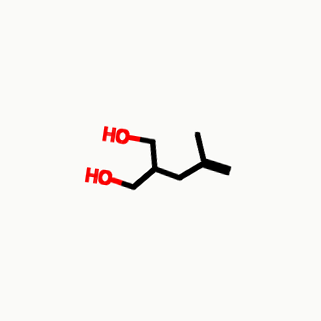 C=C(C)CC(CO)CO